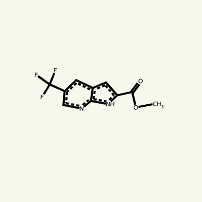 COC(=O)c1cc2cc(C(F)(F)F)cnc2[nH]1